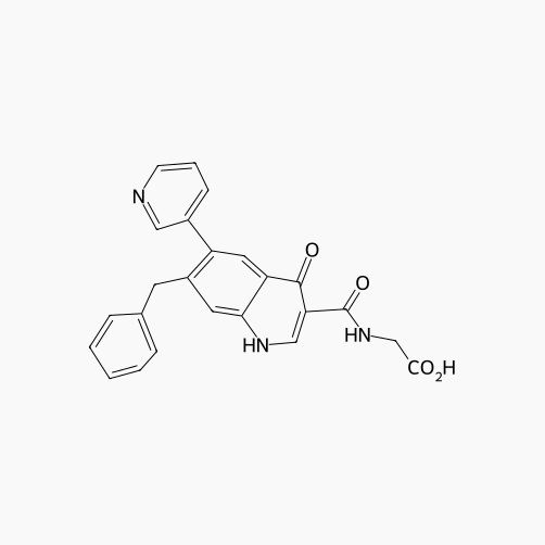 O=C(O)CNC(=O)c1c[nH]c2cc(Cc3ccccc3)c(-c3cccnc3)cc2c1=O